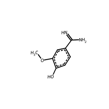 COc1cc(C(=N)N)ccc1O